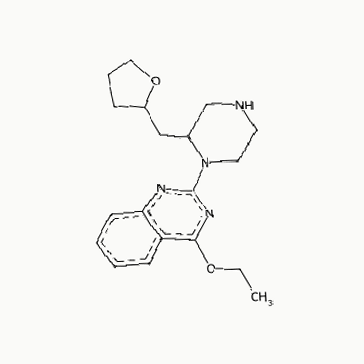 CCOc1nc(N2CCNCC2CC2CCCO2)nc2ccccc12